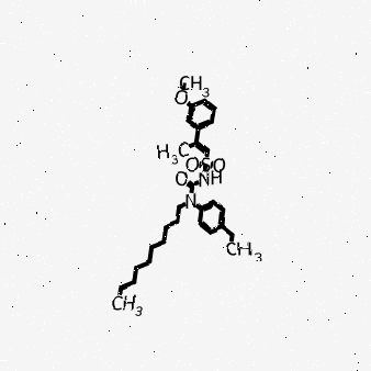 CCCCCCCCCCN(C(=O)NS(=O)(=O)C=C(C)c1cccc(OC)c1)c1ccc(CC)cc1